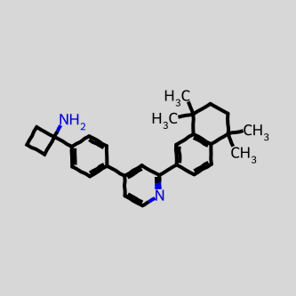 CC1(C)CCC(C)(C)c2cc(-c3cc(-c4ccc(C5(N)CCC5)cc4)ccn3)ccc21